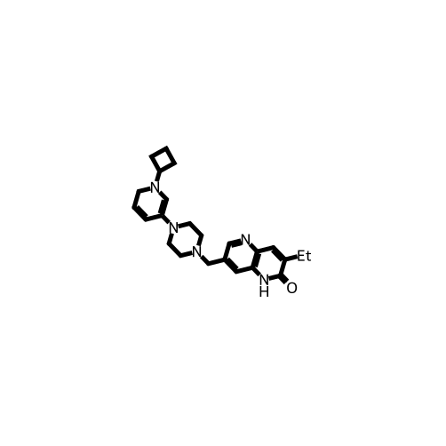 CCc1cc2ncc(CN3CCN(C4=CN(C5CCC5)CC=C4)CC3)cc2[nH]c1=O